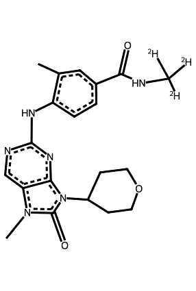 [2H]C([2H])([2H])NC(=O)c1ccc(Nc2ncc3c(n2)n(C2CCOCC2)c(=O)n3C)c(C)c1